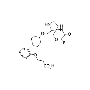 O=C(O)CCOc1ccccc1[C@H]1CC[C@@H](OCC2NCCC23COC(F)C(=O)N3)CC1